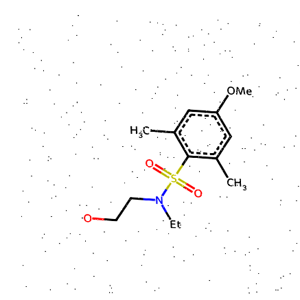 CCN(CC[O])S(=O)(=O)c1c(C)cc(OC)cc1C